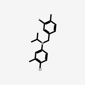 Cc1cc(N(Cc2ccc(C)c(I)c2)C(C)C)ccc1Cl